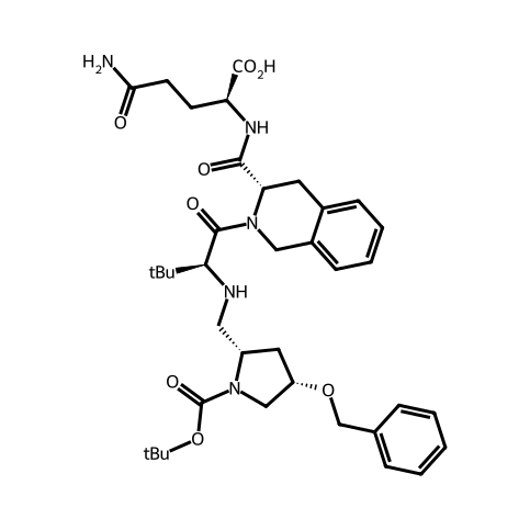 CC(C)(C)OC(=O)N1C[C@@H](OCc2ccccc2)C[C@H]1CN[C@H](C(=O)N1Cc2ccccc2C[C@H]1C(=O)N[C@@H](CCC(N)=O)C(=O)O)C(C)(C)C